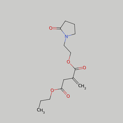 C=C(CC(=O)OCCC)C(=O)OCCN1CCCC1=O